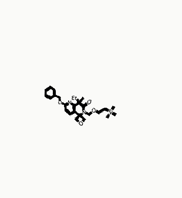 CCC1(C)C(=O)N(COCC[Si](C)(C)C)C2(COC2)c2ccc(OCc3ccccc3)nc21